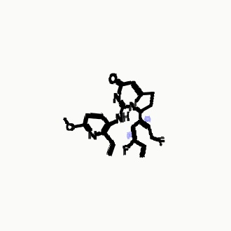 C=C/C(F)=C\C(=C/CF)C1CCc2cc(=O)nc(Nc3ccc(OC)nc3CC)n21